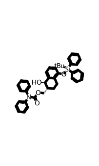 CC(C)(C)[Si](Oc1cccc2c1CC[C@H](COC(=O)N(c1ccccc1)c1ccccc1)[C@@H]2O)(c1ccccc1)c1ccccc1